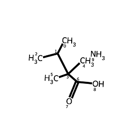 CC(C)C(C)(C)C(=O)O.N